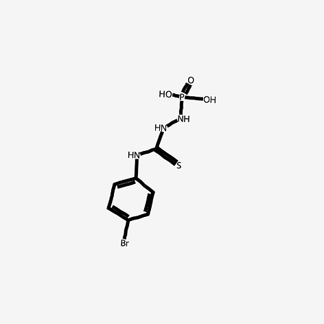 O=P(O)(O)NNC(=S)Nc1ccc(Br)cc1